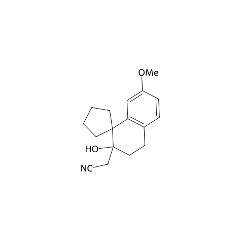 COc1ccc2c(c1)C1(CCCC1)C(O)(CC#N)CC2